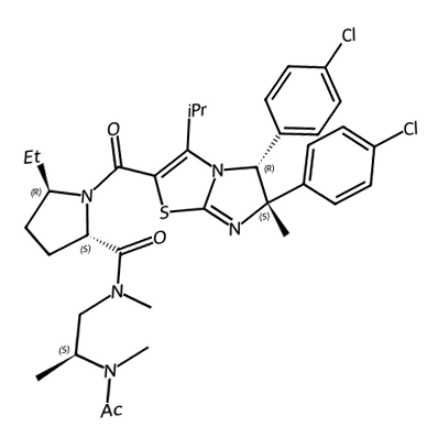 CC[C@@H]1CC[C@@H](C(=O)N(C)C[C@H](C)N(C)C(C)=O)N1C(=O)C1=C(C(C)C)N2C(=N[C@@](C)(c3ccc(Cl)cc3)[C@H]2c2ccc(Cl)cc2)S1